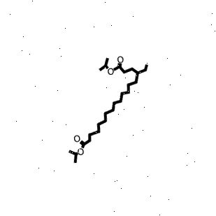 CCC(CCCCCCCCCCCCCC(=O)OC(C)C)CCC(=O)OC(C)C